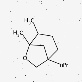 CCCC12CCC(C)C(C)(C1)OC2